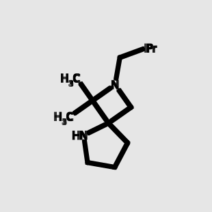 CC(C)CN1CC2(CCCN2)C1(C)C